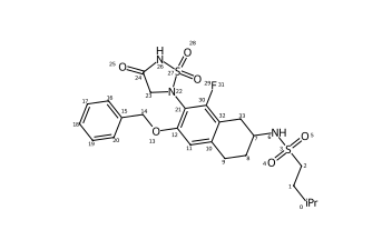 CC(C)CCS(=O)(=O)NC1CCc2cc(OCc3ccccc3)c(N3CC(=O)NS3(=O)=O)c(F)c2C1